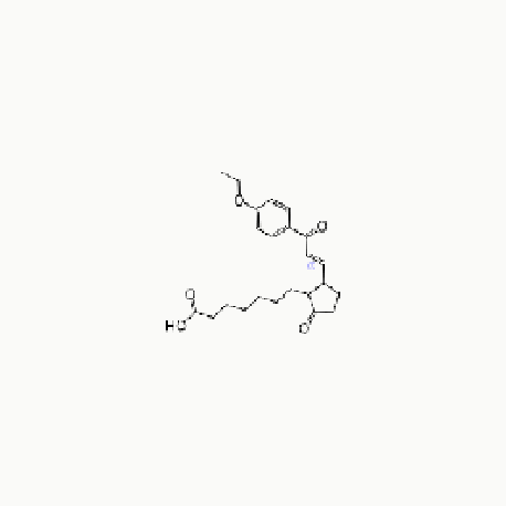 CCOc1ccc(C(=O)/C=C/C2CCC(=O)C2CCCCCCC(=O)O)cc1